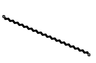 O=CCCCCCCCCCCCCCCCCCCCCCCCCCCCCCCCCCCC=O